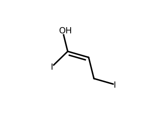 O/C(I)=C/CI